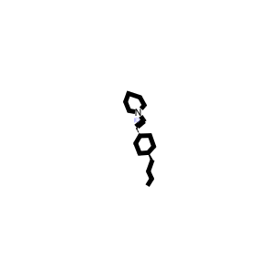 CCCC[C@H]1CC[C@H](/C=C/N2CCCCC2)CC1